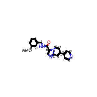 COc1cccc(CNC(=O)c2cnc3cc(-c4ccncc4)ccn23)c1